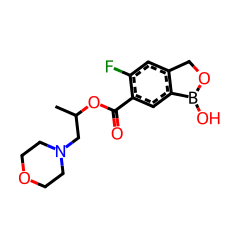 CC(CN1CCOCC1)OC(=O)c1cc2c(cc1F)COB2O